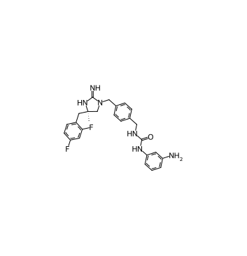 C[C@@]1(Cc2ccc(F)cc2F)CN(Cc2ccc(CNC(=O)Nc3cccc(N)c3)cc2)C(=N)N1